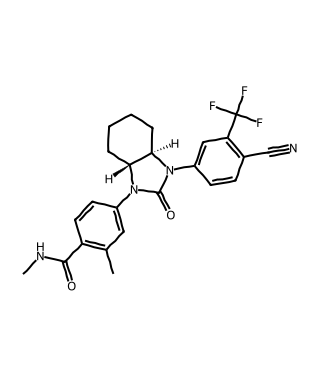 CNC(=O)c1ccc(N2C(=O)N(c3ccc(C#N)c(C(F)(F)F)c3)[C@@H]3CCCC[C@H]32)cc1C